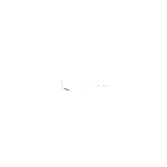 CNCCO/N=C(/C)CO